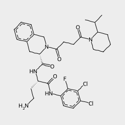 CC(C)C1CCCCN1C(=O)CCC(=O)N1Cc2ccccc2C[C@H]1C(=O)N[C@@H](CCN)C(=O)Nc1ccc(Cl)c(Cl)c1F